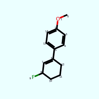 COc1ccc(C2=CC(F)CCC2)cc1